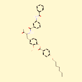 CCCCCCCOc1ccc(C(=O)Oc2ccc(CC(NC(=O)c3cccc(NC(=O)c4ccccc4)c3)C(C)=O)cc2OC)cc1